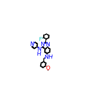 COc1cccc(CNc2ccc3nc(-c4ccccc4F)nc(Nc4ccncc4)c3c2)c1